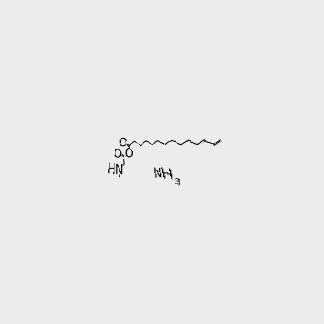 CCCCCCCCCCCCCC(=O)OC(=O)CNC.N